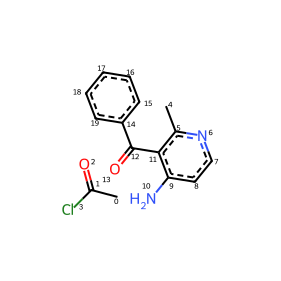 CC(=O)Cl.Cc1nccc(N)c1C(=O)c1ccccc1